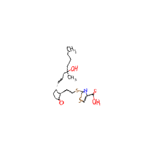 CCCCC(C)(O)C/C=C/[C@H]1CCC(=O)[C@@H]1CCSc1nc(C(=O)O)cs1